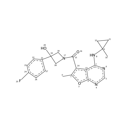 Cc1oc2ncnc(NC3(C)CC3)c2c1C(=O)N1CC(O)(c2ccc(F)cc2)C1